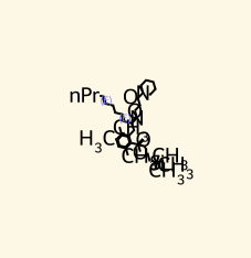 CCC/C=C/CC/C=C/C(Cc1c(C)c(C)cc(C)c1C(=O)OCC[Si](C)(C)C)=NOCC(=O)N1CCCCC1